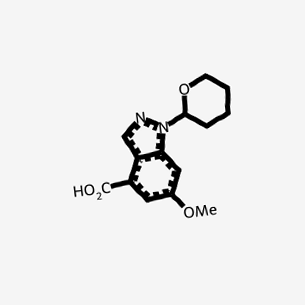 COc1cc(C(=O)O)c2cnn(C3CCCCO3)c2c1